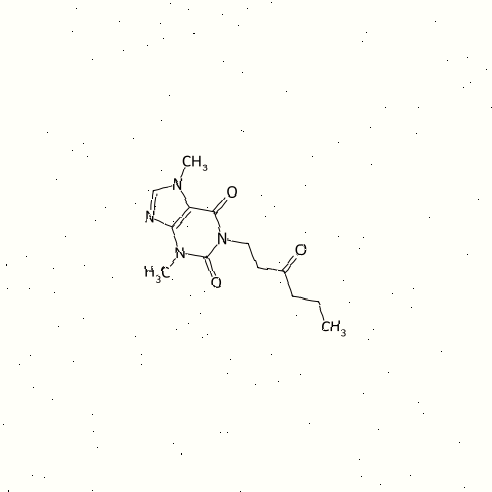 CCCC(=O)CCn1c(=O)c2c(ncn2C)n(C)c1=O